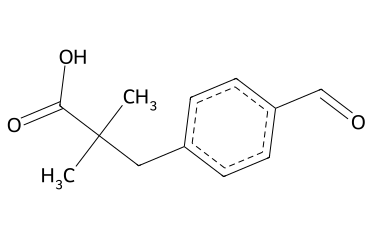 CC(C)(Cc1ccc(C=O)cc1)C(=O)O